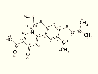 COc1cc2c(cc1COC(C)C)CC1(CCC1)n1cc(C(=O)O)c(=O)cc1-2